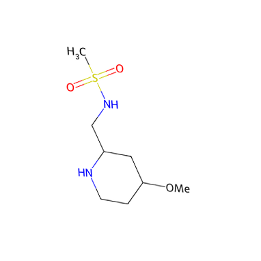 COC1CCNC(CNS(C)(=O)=O)C1